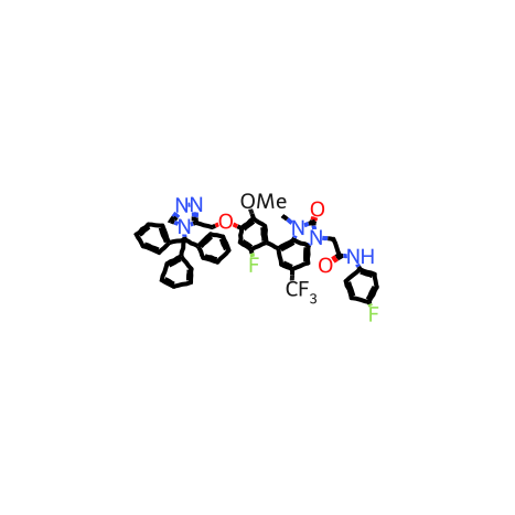 COc1cc(-c2cc(C(F)(F)F)cc3c2n(C)c(=O)n3CC(=O)Nc2ccc(F)cc2)c(F)cc1OCc1nncn1C(c1ccccc1)(c1ccccc1)c1ccccc1